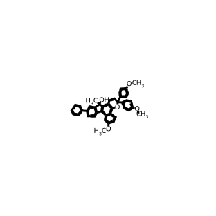 COc1ccc(C2(c3ccc(OC)cc3)C=Cc3c4c(c5cc(OC)ccc5c3O2)-c2ccc(-c3ccccc3)cc2C4(C)O)cc1